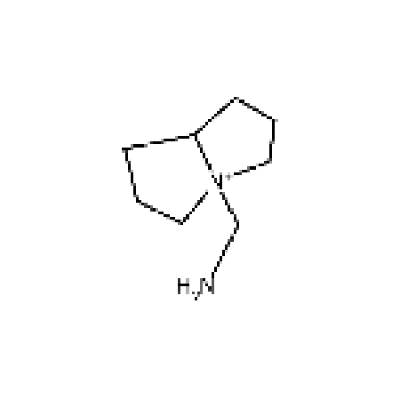 NC[N+]12CCCC1CCC2